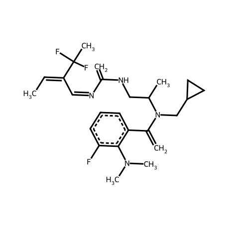 C=C(/N=C\C(=C/C)C(C)(F)F)NCC(C)N(CC1CC1)C(=C)c1cccc(F)c1N(C)C